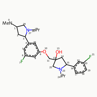 CNC1CC(c2cc(F)cc(OCC3(O)CC(c4cccc(F)c4)N(C(C)C)C3)c2)N(C(C)C)C1